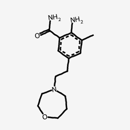 Cc1cc(CCN2CCCOCC2)cc(C(N)=O)c1N